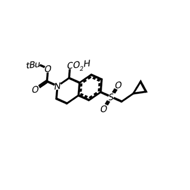 CC(C)(C)OC(=O)N1CCc2cc(S(=O)(=O)CC3CC3)ccc2C1C(=O)O